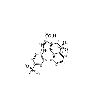 CS(=O)(=O)c1ccc(-n2nc(C(=O)O)c3c2-c2ccccc2S(=O)(=O)C3)cc1